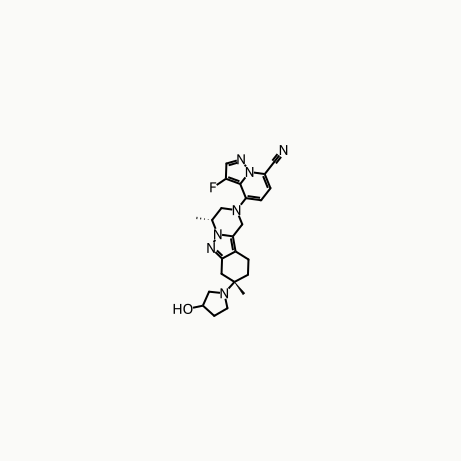 C[C@@H]1CN(c2ccc(C#N)n3ncc(F)c23)Cc2c3c(nn21)C[C@@](C)(N1CCC(O)C1)CC3